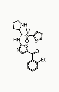 CCc1ccccc1C(=O)c1cnc(N[C@H](C2CCCN2)S(=O)(=O)c2cccs2)s1